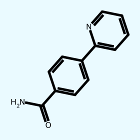 NC(=O)c1ccc(-c2ccccn2)cc1